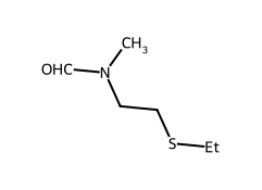 CCSCCN(C)C=O